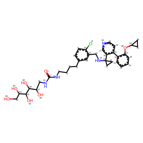 O=C(NCCCCc1ccc(Cl)c(CNC2(c3cnccc3-c3ccccc3OC3CC3)CC2)c1)NCC(O)C(O)C(O)C(O)CO